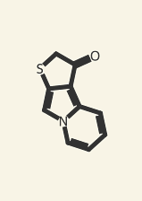 O=C1CSc2cn3ccccc3c21